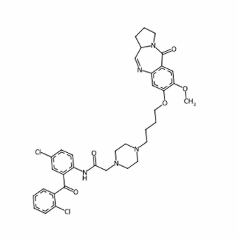 COc1cc2c(cc1OCCCCN1CCN(CC(=O)Nc3ccc(Cl)cc3C(=O)c3ccccc3Cl)CC1)N=CC1CCCN1C2=O